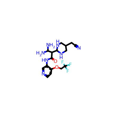 N#CCC1CNC(C(C(=O)Nc2cnccc2OCC(F)(F)F)C(N)N)NC1